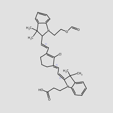 CC1(C)/C(=C\C=C2/CCCC(/C=C/C3N(CCOC=O)c4ccccc4C3(C)C)=C2Cl)N(CCC(=O)O)c2ccccc21